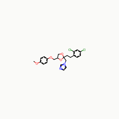 COc1ccc(OCC2COC(CCc3ccc(Cl)cc3Cl)(Cn3ccnc3)O2)cc1